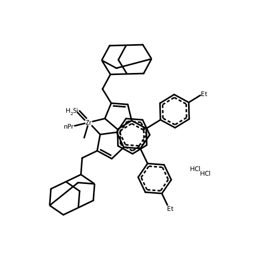 CC[CH2][Zr]([CH3])(=[SiH2])([CH]1C(CC2C3CC4CC(C3)CC2C4)=Cc2c(-c3ccc(CC)cc3)cccc21)[CH]1C(CC2C3CC4CC(C3)CC2C4)=Cc2c(-c3ccc(CC)cc3)cccc21.Cl.Cl